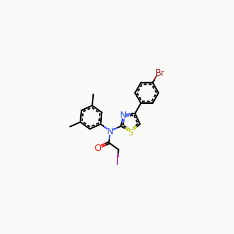 Cc1cc(C)cc(N(C(=O)CI)c2nc(-c3ccc(Br)cc3)cs2)c1